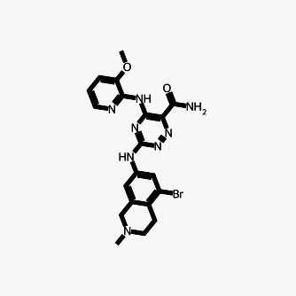 COc1cccnc1Nc1nc(Nc2cc(Br)c3c(c2)CN(C)CC3)nnc1C(N)=O